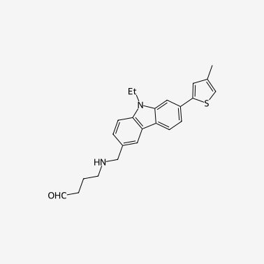 CCn1c2ccc(CNCCCC=O)cc2c2ccc(-c3cc(C)cs3)cc21